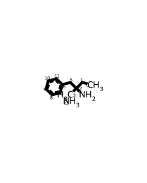 CCC(C)(N)Cc1ccccc1.N